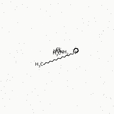 CCCCCCCCCCCCCCCC[n+]1ccccc1.CN.Cl.[Cl-]